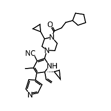 C=C[C@]1(C2CC2)NC(N2CCN(C(=O)CCC3CCCC3)C(C3CC3)C2)=C(C#N)C(C)=C1c1ccncc1